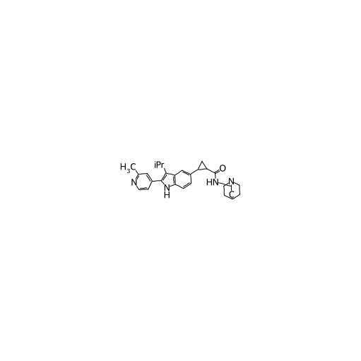 Cc1cc(-c2[nH]c3ccc(C4CC4C(=O)NC4CC5CCN4CC5)cc3c2C(C)C)ccn1